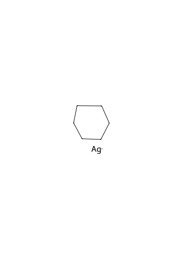 C1CCCCC1.[Ag]